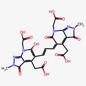 CN1N=c2c(c(CC(=O)O)c(=CC=Cc3c(CC(=O)O)c4c(=O)n(C)nc-4n(CC(=O)O)c3O)c(=O)n2CC(=O)O)C1=O